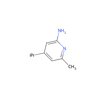 Cc1cc(C(C)C)cc(N)n1